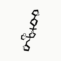 CC(C)(c1ccc(-c2cccs2)cc1)N1CC[C@](CCc2cccs2)([C@@H]2CCCO2)C1